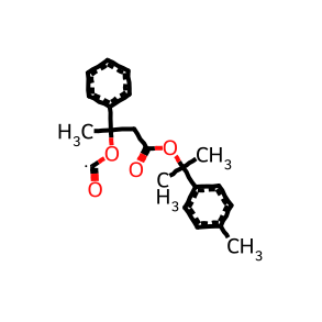 Cc1ccc(C(C)(C)OC(=O)CC(C)(O[C]=O)c2ccccc2)cc1